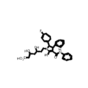 CC(C)C1=C(C(=O)Nc2ccccc2)C(c2ccccc2)C(C2=CC=C(F)C=CC2)N1CCC(O)CC(O)CC(=O)O